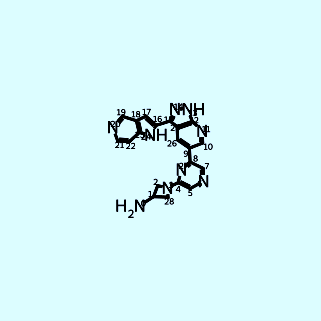 NC1CN(c2cncc(-c3cnc4[nH]nc(-c5cc6cnccc6[nH]5)c4c3)n2)C1